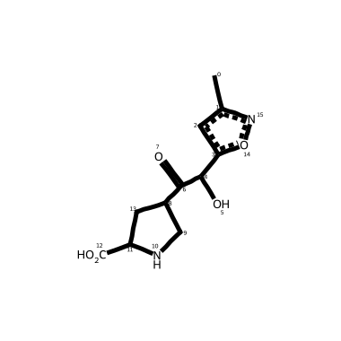 Cc1cc(C(O)C(=O)C2CNC(C(=O)O)C2)on1